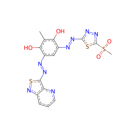 Cc1c(O)c(/N=N/c2nnc(S(C)(=O)=O)s2)cc(/N=N/c2snc3cccnc23)c1O